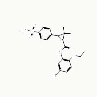 CCOc1ccc(Cl)cc1NC(=O)C1C(c2ccc(S(N)(=O)=O)cc2)C1(C)C